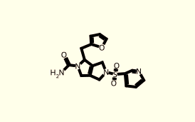 NC(=O)N1CC2=C(CN(S(=O)(=O)c3cccnc3)C2)C1Cc1ccco1